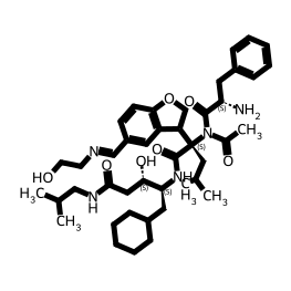 CC(=O)N(C(=O)[C@@H](N)Cc1ccccc1)[C@](CC(C)C)(C(=O)N[C@@H](CC1CCCCC1)[C@@H](O)CC(=O)NCC(C)C)C1COc2ccc(C=NCCO)cc21